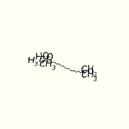 CC(C)CCCCCCCCCCCCCCCC(C(=O)O)C(C)C